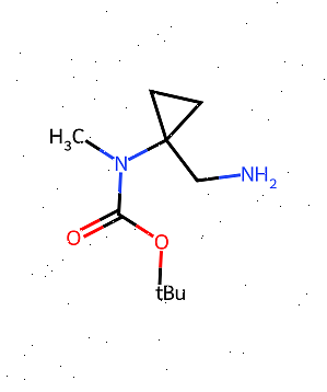 CN(C(=O)OC(C)(C)C)C1(CN)CC1